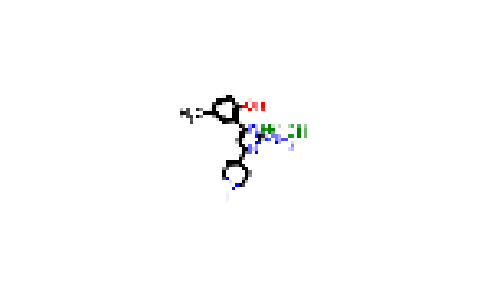 Cc1ccc(O)c(-c2cc(C3CCNCC3)nc(N)n2)c1.Cl.Cl